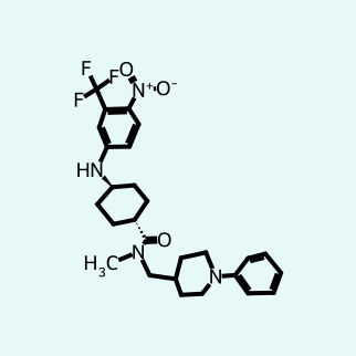 CN(CC1CCN(c2ccccc2)CC1)C(=O)[C@H]1CC[C@H](Nc2ccc([N+](=O)[O-])c(C(F)(F)F)c2)CC1